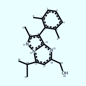 Cc1cccc(C)c1-c1c(C)nn2c(C(C)C)cc(CO)nc12